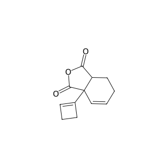 O=C1OC(=O)C2(C3=CCC3)C=CCCC12